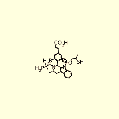 Bc1cc(/C=C/C(=O)O)cc(F)c1C1c2c(c3ccccc3n2C(=O)OCC(C)S)C[C@@H](C)N1CC(C)(C)P